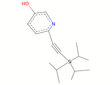 CC(C)[Si](C#Cc1ccc(O)cn1)(C(C)C)C(C)C